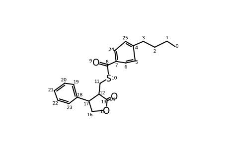 CCCCc1ccc(C(=O)SCC2C(=O)OCC2c2ccccc2)cc1